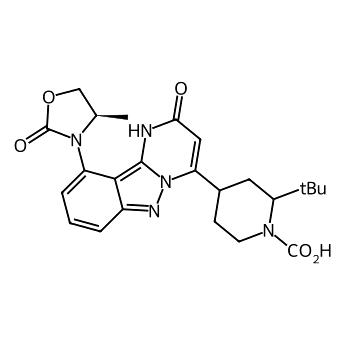 C[C@@H]1COC(=O)N1c1cccc2nn3c(C4CCN(C(=O)O)C(C(C)(C)C)C4)cc(=O)[nH]c3c12